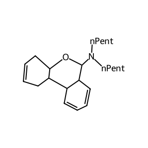 CCCCCN(CCCCC)C1OC2CC=CCC2C2C=CC=CC21